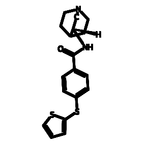 O=C(N[C@H]1CN2CCC1CC2)c1ccc(Sc2cccs2)cc1